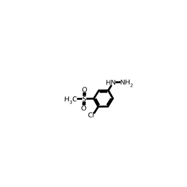 CS(=O)(=O)c1cc(NN)ccc1Cl